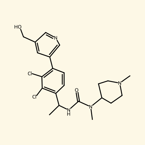 CC(NC(=O)N(C)C1CCN(C)CC1)c1ccc(-c2cncc(CO)c2)c(Cl)c1Cl